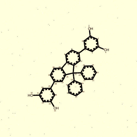 Oc1cc(O)cc(-c2ccc3c(c2)C(c2ccccc2)(c2ccccc2)c2cc(-c4cc(O)cc(O)c4)ccc2-3)c1